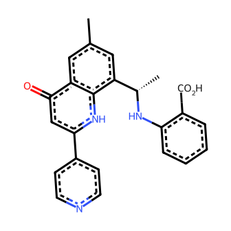 Cc1cc([C@H](C)Nc2ccccc2C(=O)O)c2[nH]c(-c3ccncc3)cc(=O)c2c1